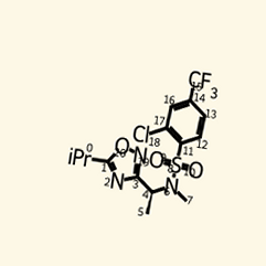 CC(C)c1nc([C@H](C)N(C)S(=O)(=O)c2ccc(C(F)(F)F)cc2Cl)no1